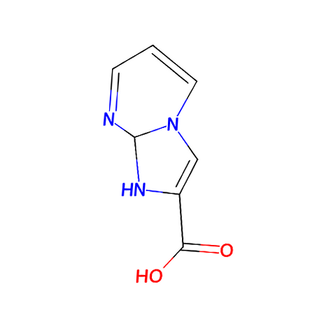 O=C(O)C1=CN2C=CC=NC2N1